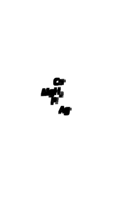 [Ag].[Cu].[MgH2].[P]